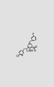 O=[N+]([O-])C1=C2NCC(Cc3ccc(Cl)nc3)N2CN(Cc2cccc(F)c2)C1